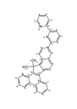 CC1(C)c2c(ccc3cc(-c4cccc(-c5ccccn5)n4)ccc23)-c2c1c1ccccc1c1ccccc21